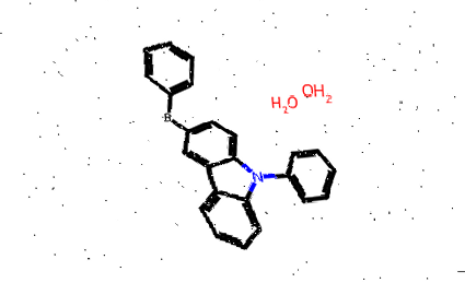 O.O.[B](c1ccccc1)c1ccc2c(c1)c1ccccc1n2-c1ccccc1